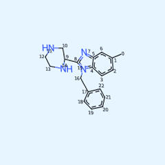 Cc1ccc2c(c1)nc(C1CNCCN1)n2Cc1ccccc1